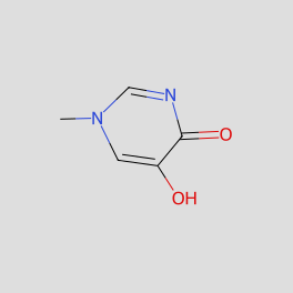 Cn1cnc(=O)c(O)c1